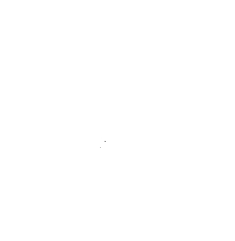 CCC[SiH](OCC)Oc1ccccc1